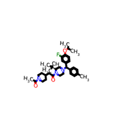 CC(=O)N1CCC(CC(=O)N2CCN(C(c3ccc(C)cc3)c3ccc(OC(C)C)c(F)c3)C[C@@H]2C(C)(C)C)CC1